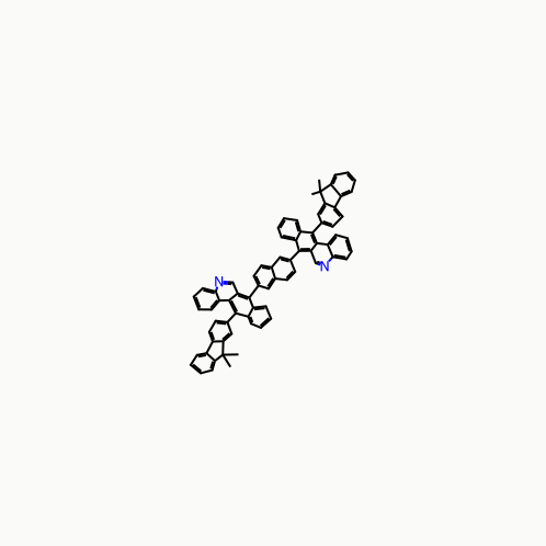 CC1(C)c2ccccc2-c2ccc(-c3c4ccccc4c(-c4ccc5cc(-c6c7ccccc7c(-c7ccc8c(c7)C(C)(C)c7ccccc7-8)c7c6cnc6ccccc67)ccc5c4)c4cnc5ccccc5c34)cc21